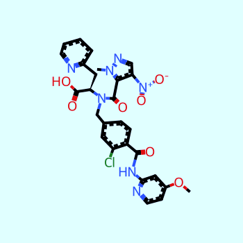 COc1ccnc(NC(=O)c2ccc(CN(C(=O)c3c([N+](=O)[O-])cnn3C)[C@H](Cc3ccccn3)C(=O)O)cc2Cl)c1